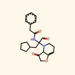 O=CC(CC1CCCC1)(NC(=O)Cc1ccccc1)N1CCC=C2OCC(=O)C21